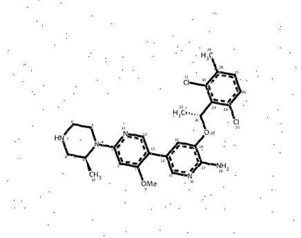 COc1cc(N2CCNC[C@@H]2C)ncc1-c1cnc(N)c(O[C@H](C)c2c(Cl)ccc(C)c2Cl)c1